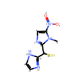 Cn1c([N+](=O)[O-])cnc1C(S)c1ncc[nH]1